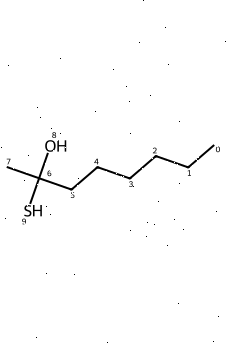 CCCCCCC(C)(O)S